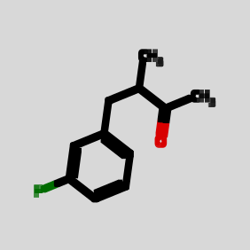 CC(=O)C(C)Cc1cccc(F)c1